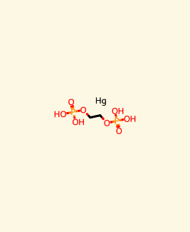 O=P(O)(O)OCCOP(=O)(O)O.[Hg]